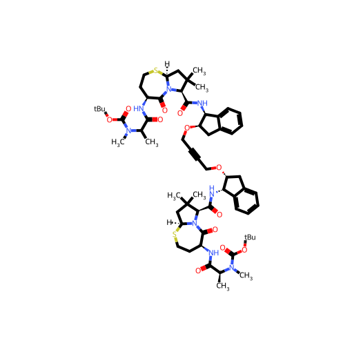 CC(C(=O)N[C@H]1CCS[C@H]2CC(C)(C)[C@@H](C(=O)N[C@H]3c4ccccc4C[C@H]3OCC#CCO[C@@H]3Cc4ccccc4[C@@H]3NC(=O)[C@H]3N4C(=O)[C@@H](NC(=O)[C@H](C)N(C)C(=O)OC(C)(C)C)CCS[C@H]4CC3(C)C)N2C1=O)N(C)C(=O)OC(C)(C)C